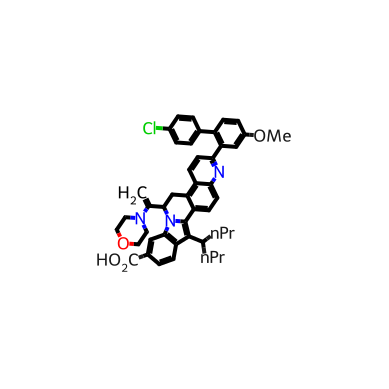 C=C(C1Cc2c(ccc3nc(-c4cc(OC)ccc4-c4ccc(Cl)cc4)ccc23)-c2c(C(CCC)CCC)c3ccc(C(=O)O)cc3n21)N1CCOCC1